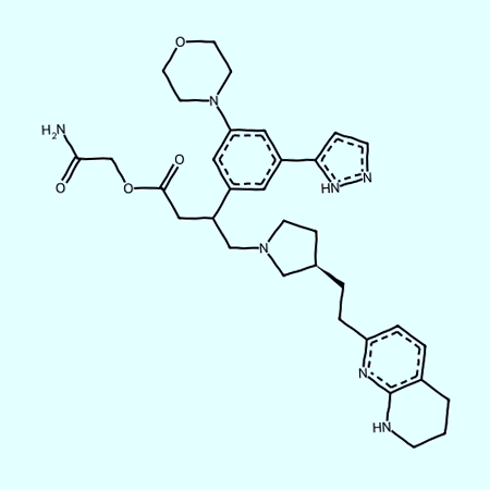 NC(=O)COC(=O)CC(CN1CC[C@@H](CCc2ccc3c(n2)NCCC3)C1)c1cc(-c2ccn[nH]2)cc(N2CCOCC2)c1